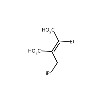 CCC(C(=O)O)=C(CC(C)C)C(=O)O